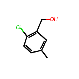 Cc1ccc(Cl)c(CO)c1